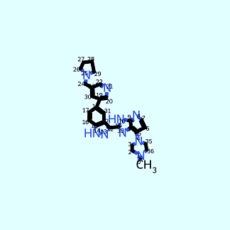 CN1CCN(c2ccnc3[nH]c(-c4n[nH]c5ccc(-c6cncc(CN7CCCC7)c6)cc45)nc23)CC1